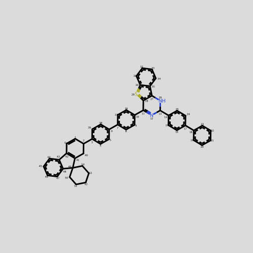 C1=CC(c2ccc(-c3ccc(C4=NC(c5ccc(-c6ccccc6)cc5)Nc5c4sc4ccccc54)cc3)cc2)CC2=C1c1ccccc1C21CCCCC1